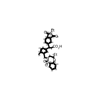 CC[C@@H]1CN(Cc2cc(C(CC(=O)O)c3ccc4c(c3)C(=O)N(CC)C4=O)ccc2C)S(=O)(=O)c2ccccc2O1